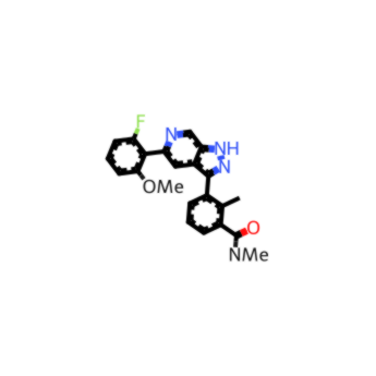 CNC(=O)c1cccc(-c2n[nH]c3cnc(-c4c(F)cccc4OC)cc23)c1C